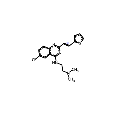 CN(C)CCNc1nc(/C=C/c2cccs2)nc2ccc(Cl)cc12